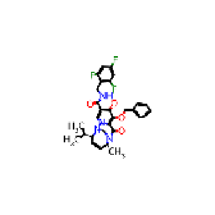 CC(C)[C@@H]1C=C[C@H](C)N2CN1n1cc(C(=O)NCc3c(F)cc(F)cc3F)c(=O)c(OCc3ccccc3)c1C2=O